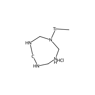 Cl.[CH3][Ti][N]1CNCNCNC1